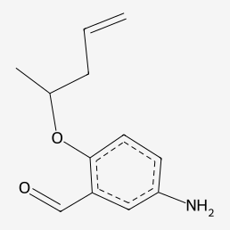 C=CCC(C)Oc1ccc(N)cc1C=O